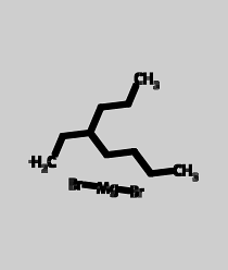 [Br][Mg][Br].[CH2]CC(CCC)CCCC